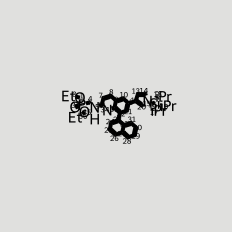 CCOP(=O)(CNc1ccc2cc(-c3ccn([Si](C(C)C)(C(C)C)C(C)C)c3)cc(-c3cccc4ccccc34)c2n1)OCC